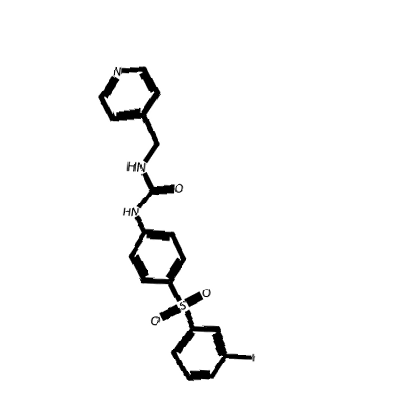 O=C(NCc1ccncc1)Nc1ccc(S(=O)(=O)c2cccc(I)c2)cc1